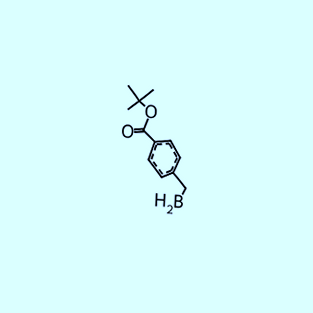 BCc1ccc(C(=O)OC(C)(C)C)cc1